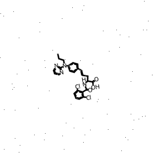 CCCN(c1ccc(C=CCC(NC(=O)c2c(Cl)cccc2Cl)C(=O)O)cc1)c1ncccn1